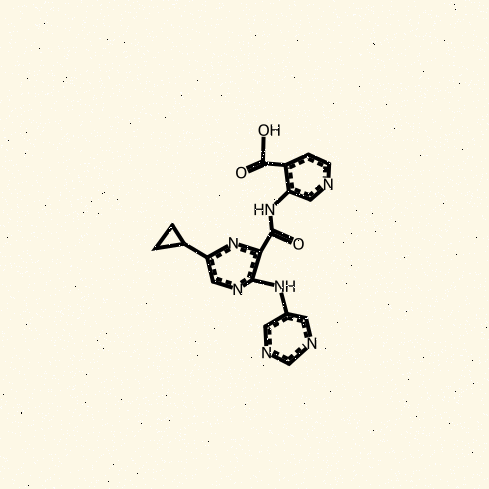 O=C(O)c1ccncc1NC(=O)c1nc(C2CC2)cnc1Nc1cncnc1